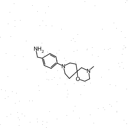 CN1CCOC2(CCN(c3ccc(CN)cc3)CC2)C1